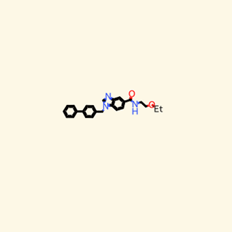 CCOCCNC(=O)c1ccc2c(c1)ncn2Cc1ccc(-c2ccccc2)cc1